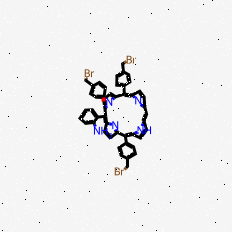 Nc1ccccc1-c1c2nc(c(-c3ccc(CBr)cc3)c3ccc(cc4nc(c(-c5ccc(CBr)cc5)c5ccc1n5-c1ccc(CBr)cc1)C=C4)[nH]3)C=C2